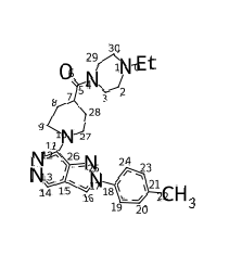 CCN1CCN(C(=O)C2CCN(c3nncc4cn(-c5ccc(C)cc5)nc34)CC2)CC1